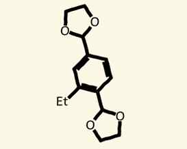 CCc1cc(C2OCCO2)ccc1C1OCCO1